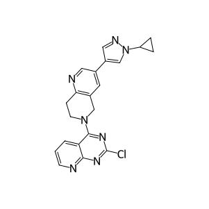 Clc1nc(N2CCc3ncc(-c4cnn(C5CC5)c4)cc3C2)c2cccnc2n1